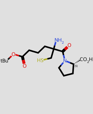 CC(C)(C)OC(=O)CCCC(N)(CS)C(=O)N1CCC[C@H]1C(=O)O